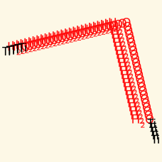 O.O.O.O.O.O.O.O.O.O.O.O.O.O.O.O.O.O.O.O.O.O.O.O.O.O.O.O.O.O.O.O.O.O.O.O.O.O.O.O.O.O.O.O.O.O.O.O.O.O.[Ti].[Ti].[Ti].[Ti].[Ti].[Ti].[Ti].[Ti].[Ti].[Ti]